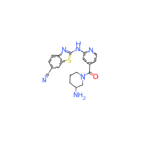 N#Cc1ccc2nc(Nc3cc(C(=O)N4CCCC(N)C4)ccn3)sc2c1